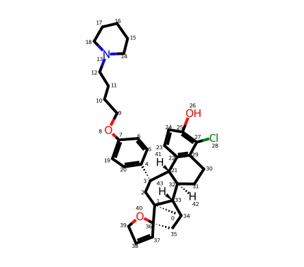 C[C@]12C[C@H](c3ccc(OCCCCN4CCCCC4)cc3)[C@@H]3c4ccc(O)c(Cl)c4CC[C@H]3[C@@H]1CC[C@@]21C=CCO1